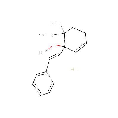 N#COC1(C=Cc2ccccc2)C=CCCC1(S(=O)(=O)O)S(=O)(=O)O.S